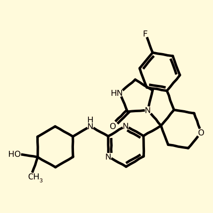 CC1(O)CCC(Nc2nccc(C3(N4CCNC4=O)CCOCC3c3ccc(F)cc3)n2)CC1